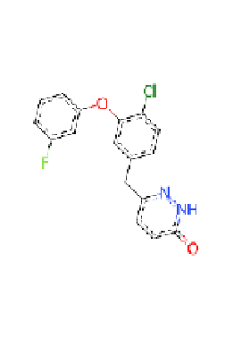 O=c1ccc(Cc2ccc(Cl)c(Oc3cccc(F)c3)c2)n[nH]1